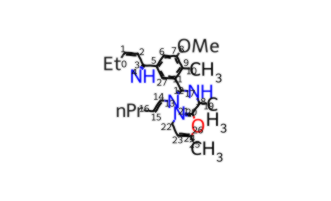 CC/C=C\C(=N)c1cc(OC)c(C)c(/C(=N\C=C\CCC)NC(C)C2=NCC=C(C)O2)c1